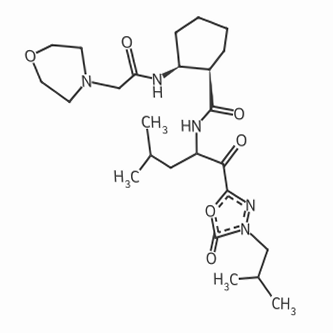 CC(C)CC(NC(=O)[C@@H]1CCCC[C@@H]1NC(=O)CN1CCOCC1)C(=O)c1nn(CC(C)C)c(=O)o1